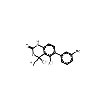 CC(=O)c1cccc(-c2ccc3c(c2Cl)C(C)(C)OC(=O)N3)c1